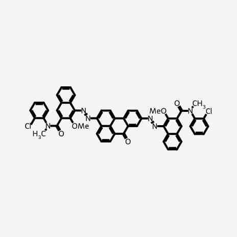 COc1c(C(=O)N(C)c2ccccc2Cl)cc2ccccc2c1N=Nc1ccc2c(c1)C(=O)c1cccc3c(N=Nc4c(OC)c(C(=O)N(C)c5ccccc5Cl)cc5ccccc45)ccc-2c13